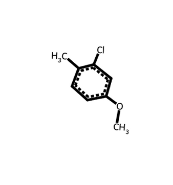 COc1ccc(C)c(Cl)c1